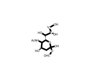 CC(=O)NC1[C@H](C(O)[8CH](O)[9CH2]O)OC(O)(OC=O)C[C@H]1O